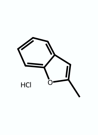 Cc1cc2ccccc2o1.Cl